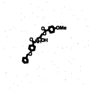 COc1ccc(C(=O)OCC(O)CNC(=O)c2ccc(OCc3ccccc3)cc2)cc1